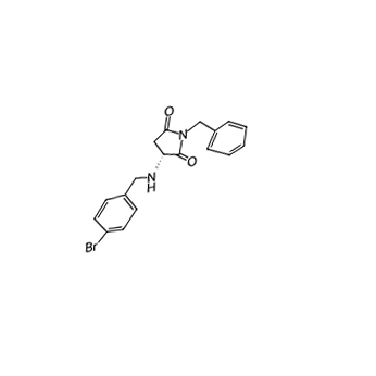 O=C1C[C@@H](NCc2ccc(Br)cc2)C(=O)N1Cc1ccccc1